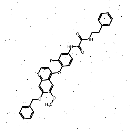 COc1cc2c(Oc3ccc(NC(=O)C(=O)NCCc4ccccc4)cc3F)ccnc2cc1OCc1ccccc1